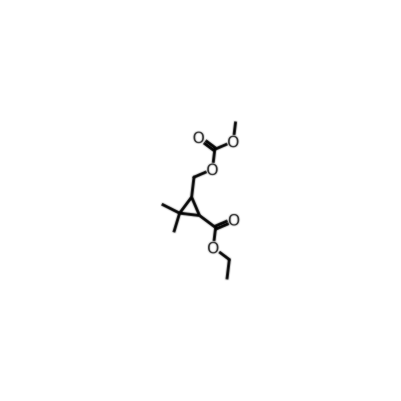 CCOC(=O)C1C(COC(=O)OC)C1(C)C